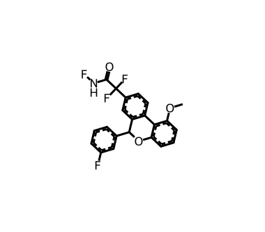 COc1cccc2c1-c1ccc(C(F)(F)C(=O)NF)cc1C(c1cccc(F)c1)O2